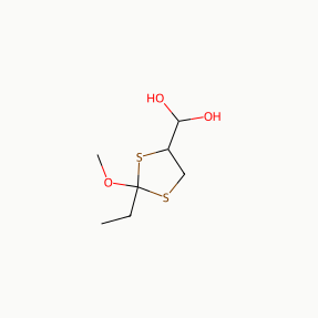 CCC1(OC)SCC(C(O)O)S1